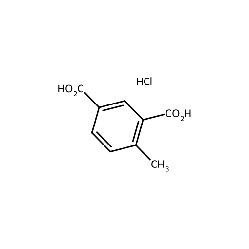 Cc1ccc(C(=O)O)cc1C(=O)O.Cl